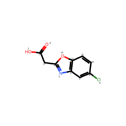 O=C(O)Cc1nc2cc(Cl)ccc2o1